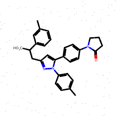 Cc1ccc(-n2nc(CC(C(=O)O)c3cccc(C)c3)cc2-c2ccc(N3CCCC3=O)cc2)cc1